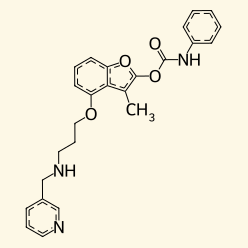 Cc1c(OC(=O)Nc2ccccc2)oc2cccc(OCCCNCc3cccnc3)c12